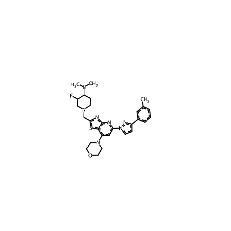 Cc1cccc(-c2ccn(-c3cc(N4CCOCC4)c4sc(CN5CCC(N(C)C)C(F)C5)nc4n3)n2)c1